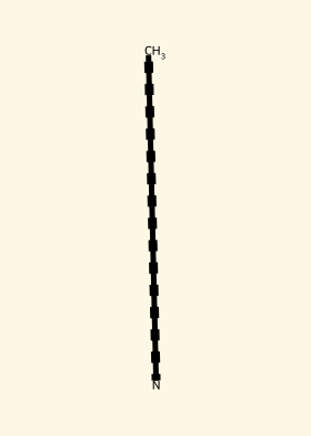 CC#CC#CC#CC#CC#CC#CC#CC#CC#CC#CC#CC#CC#CC#CC#N